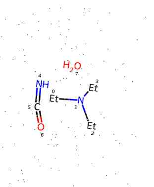 CCN(CC)CC.N=C=O.O